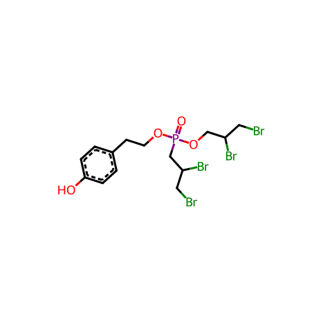 O=P(CC(Br)CBr)(OCCc1ccc(O)cc1)OCC(Br)CBr